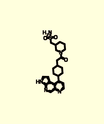 NS(=O)(=O)CC1CCCN(C(=O)CC2CCC(c3ccnc4cnc5[nH]ccc5c34)CC2)C1